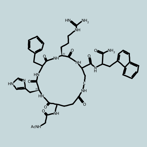 CC(=O)NCC(=O)NC1CCC(=O)NCCC(C(=O)NC(Cc2cccc3ccccc23)C(N)=O)NC(=O)[C@H](CCCNC(=N)N)NC(=O)C(Cc2ccccc2)NC(=O)[C@H](Cc2c[nH]cn2)NC1=O